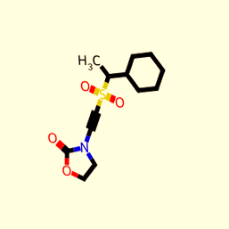 CC(C1CCCCC1)S(=O)(=O)C#CN1CCOC1=O